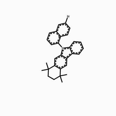 CC1(C)CCC(C)(C)c2cc3c(cc21)c1ccccc1n3-c1cccc2cc(Br)ccc12